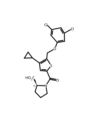 O=C(O)[C@@H]1CCCN1C(=O)c1cc(C2CC2)c(COc2cc(Cl)cc(Cl)c2)s1